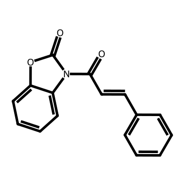 O=C(C=Cc1ccccc1)n1c(=O)oc2ccccc21